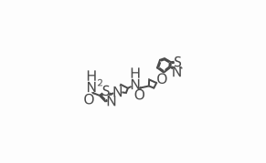 NC(=O)c1cnc(N2CC(NC(=O)C3CC(Oc4cccc5scnc45)C3)C2)s1